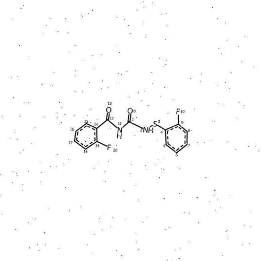 O=C(NSc1ccccc1F)NC(=O)c1ccccc1F